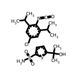 CC(C)(O)c1ccc(S(N)(=O)=O)s1.CC(C)c1cc(Cl)cc(C(C)C)c1N=C=O